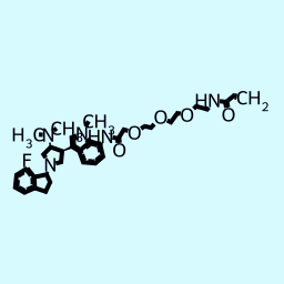 C=CC(=O)NCCOCCOCCOCC(=O)Nc1cccc2c([C@H]3CN([C@H]4CCc5cccc(F)c54)C[C@@H]3N(C)C)cn(C)c12